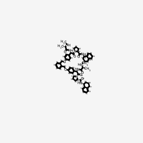 CN[C@@H](C)C(=O)N[C@H](C(=O)N1CCCC1C(=O)N[C@@H]1CCCc2ccccc21)c1ccc(OCc2ccccc2COc2ccc([C@H](NC(=O)[C@H](C)NC)C(=O)N3CCC[C@H]3C(=O)N[C@@H]3CCCc4ccccc43)cc2)cc1